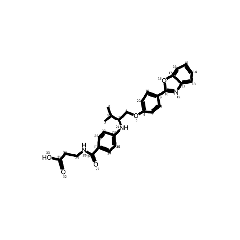 CC(C)C(COc1ccc(-c2nc3ccccc3o2)cc1)Nc1ccc(C(=O)NCCC(=O)O)cc1